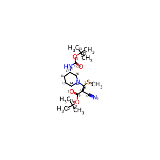 CS/C(=C(\C#N)C(=O)OC(C)(C)C)N1CCC[C@@H](NC(=O)OC(C)(C)C)C1